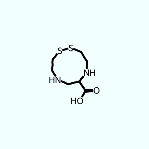 O=C(O)C1CNCCSSCCN1